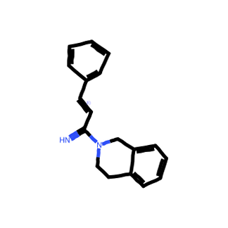 N=C(/C=C/c1ccccc1)N1CCc2ccccc2C1